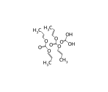 CC=COC(=O)OC=CC.CC=COC(=O)OC=CC.O=C(O)O